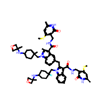 CSc1cc(C)[nH]c(=O)c1CNC(=O)c1c(C)n(CC2(C)CCC(NC3(C)COC3)CC2)c2ccc(Cc3c(C(=O)NCc4c(SC)cc(C)[nH]c4=O)c4ccccc4n3CC3(F)CCC(NC4(C)COC4)CC3)cc12